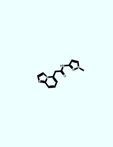 Cn1ccc(NC(=O)Cc2cccc3nccn23)n1